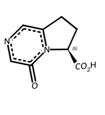 O=C(O)[C@@H]1CCc2cncc(=O)n21